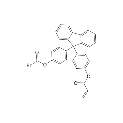 C=CC(=O)Oc1ccc(C2(c3ccc(OC(=O)CC)cc3)c3ccccc3-c3ccccc32)cc1